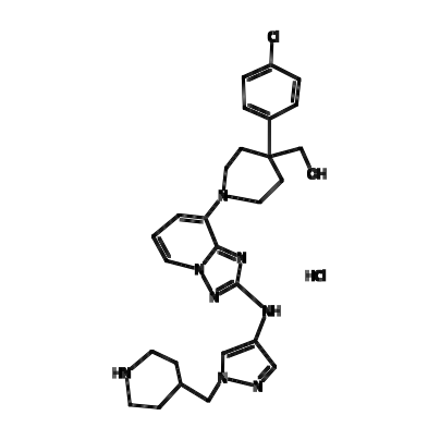 Cl.OCC1(c2ccc(Cl)cc2)CCN(c2cccn3nc(Nc4cnn(CC5CCNCC5)c4)nc23)CC1